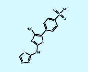 Cc1nc(Nc2nncs2)sc1-c1ccc(S(N)(=O)=O)cc1